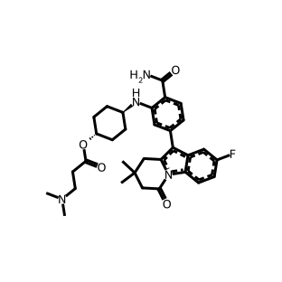 CN(C)CCC(=O)O[C@H]1CC[C@H](Nc2cc(-c3c4n(c5ccc(F)cc35)C(=O)CC(C)(C)C4)ccc2C(N)=O)CC1